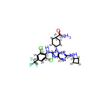 C[C@]1(C(N)=O)CC[C@@H](n2c(Nc3c(Cl)cc(C(F)(F)F)cc3Cl)nc3cnc(NC4CCC4)nc32)CC1